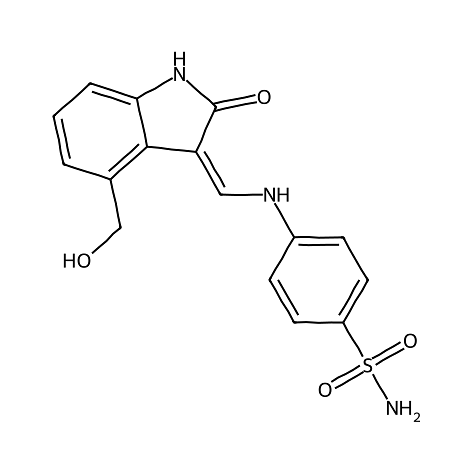 NS(=O)(=O)c1ccc(N/C=C2\C(=O)Nc3cccc(CO)c32)cc1